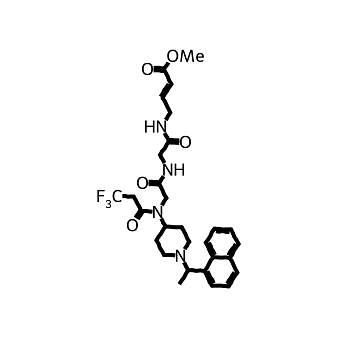 COC(=O)/C=C/CNC(=O)CNC(=O)CN(C(=O)CC(F)(F)F)C1CCN(C(C)c2cccc3ccccc23)CC1